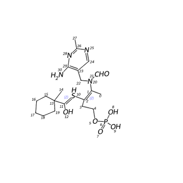 C/C(=C(CCOP(=O)(O)O)/[SH]=C(\O)C1(C)CCCCC1)N(C=O)Cc1cnc(C)nc1N